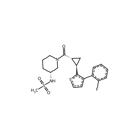 CS(=O)(=O)N[C@@H]1CCCN(C(=O)[C@@H]2C[C@H]2c2sccc2-c2ccccc2F)C1